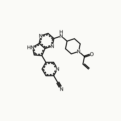 C=CC(=O)N1CCC(Nc2cnc3[nH]cc(-c4ccc(C#N)nc4)c3n2)CC1